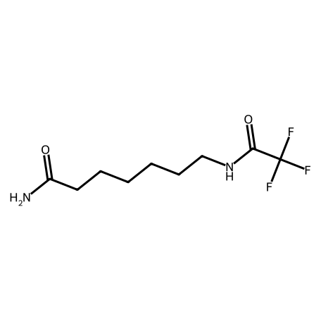 NC(=O)CCCCCCNC(=O)C(F)(F)F